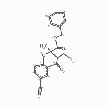 CC1(C(=O)OCc2ccccc2)Oc2ccc(C#N)cc2C(=O)C1CN